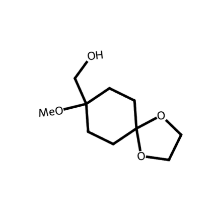 COC1(CO)CCC2(CC1)OCCO2